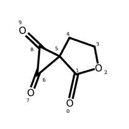 O=C1OCCC12C(=O)C2=O